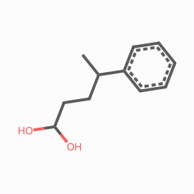 CC(CCC(O)O)c1ccccc1